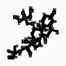 CCOP(=O)(CO[C@H]1C[C@@]2(C)[C@@H](CC[C@]2(O)C(=O)CO[Si](C)(C)C(C)(C)C)[C@@H]2C[C@H](C)C3=CC(=O)C=C[C@]3(C)[C@H]21)OCC